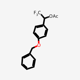 CC(=O)OC(c1ccc(OCc2ccccc2)cc1)C(F)(F)F